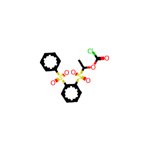 CC(OC(=O)Cl)S(=O)(=O)c1ccccc1S(=O)(=O)c1ccccc1